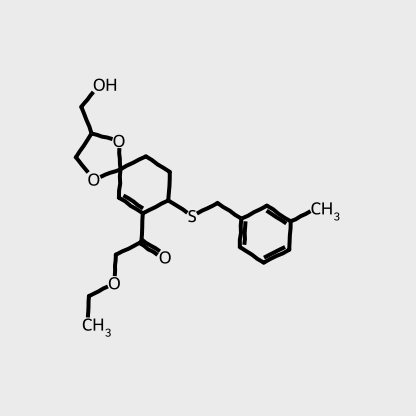 CCOCC(=O)C1=CC2(CCC1SCc1cccc(C)c1)OCC(CO)O2